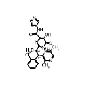 Cc1cnc(C)c([C@H](c2ccccc2Cl)[C@H](C)c2nc(C(=O)Nc3cnoc3)c(O)c(=O)n2C)n1